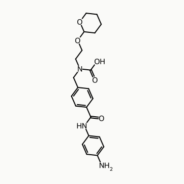 Nc1ccc(NC(=O)c2ccc(CN(CCOC3CCCCO3)C(=O)O)cc2)cc1